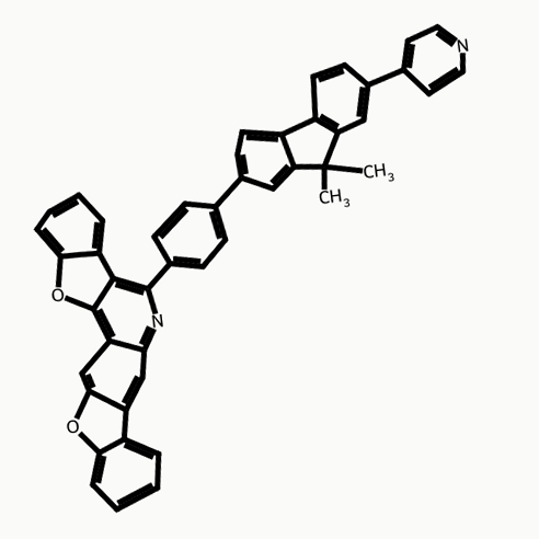 CC1(C)c2cc(-c3ccncc3)ccc2-c2ccc(-c3ccc(-c4nc5cc6c(cc5c5oc7ccccc7c45)oc4ccccc46)cc3)cc21